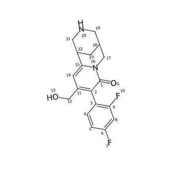 O=c1c(-c2ccc(F)cc2F)c(CO)cc2n1CC1CNCC2C1